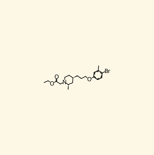 CCOC(=O)CN1CC[C@@H](CCCOc2ccc(Br)c(C)c2)C[C@H]1C